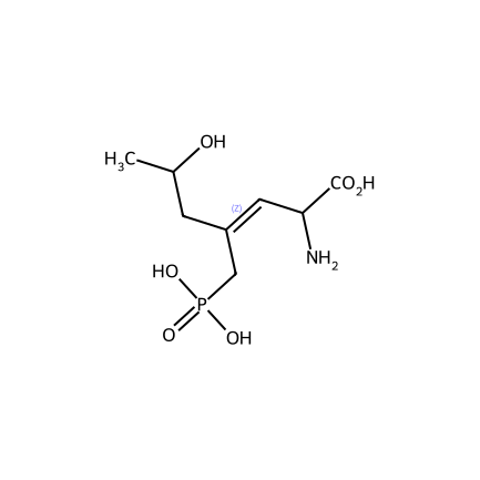 CC(O)C/C(=C/C(N)C(=O)O)CP(=O)(O)O